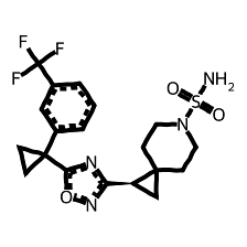 NS(=O)(=O)N1CCC2(CC1)C[C@H]2c1noc(C2(c3cccc(C(F)(F)F)c3)CC2)n1